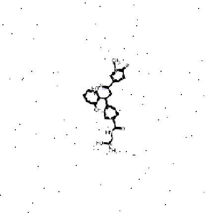 Cc1ccccc1C(C/C(=N\O)c1ccc(=O)n(C)c1)c1ccc(C(=O)NC[C@H](C)O)cc1